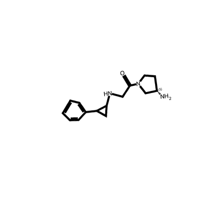 N[C@H]1CCN(C(=O)CNC2CC2c2ccccc2)C1